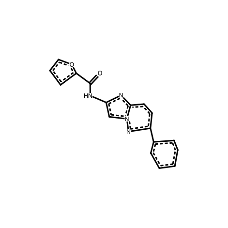 O=C(Nc1cn2nc(-c3ccccc3)ccc2n1)c1ccco1